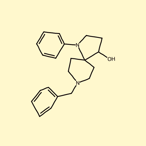 OC1CCN(c2ccccc2)C12CCN(Cc1ccccc1)CC2